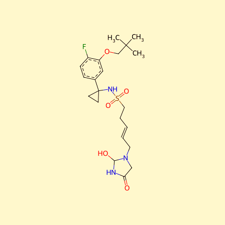 CC(C)(C)COc1cc(C2(NS(=O)(=O)CC/C=C/CN3CC(=O)NC3O)CC2)ccc1F